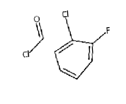 Fc1ccccc1Cl.O=CCl